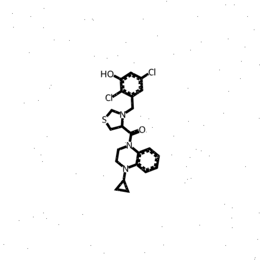 O=C(C1CSCN1Cc1cc(Cl)cc(O)c1Cl)N1CCN(C2CC2)c2ccccc21